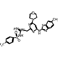 Cc1ccc(S(=O)(=O)NC(=N)NCc2nc(Nc3nc4ccc(C)cc4s3)cc(N3CCOCC3)n2)cc1